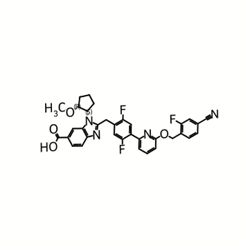 CO[C@@H]1CCC[C@@H]1n1c(Cc2cc(F)c(-c3cccc(OCc4ccc(C#N)cc4F)n3)cc2F)nc2ccc(C(=O)O)cc21